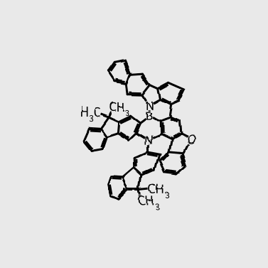 CC1(C)c2ccccc2-c2cc(N3c4cc5c(cc4B4c6c(cc7oc8ccccc8c7c63)-c3cccc6c7cc8ccccc8cc7n4c36)C(C)(C)c3ccccc3-5)ccc21